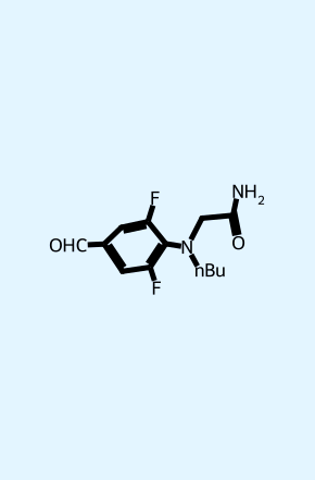 CCCCN(CC(N)=O)c1c(F)cc(C=O)cc1F